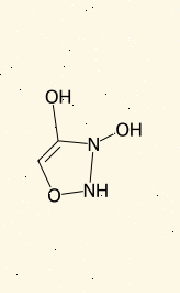 OC1=CONN1O